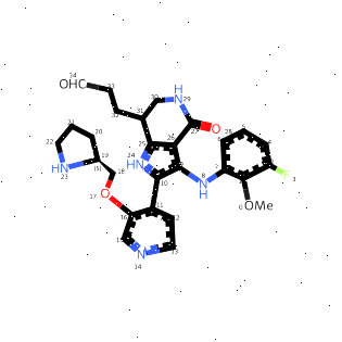 COc1c(F)cccc1Nc1c(-c2ccncc2OC[C@@H]2CCCN2)[nH]c2c1C(=O)NCC2CCC=O